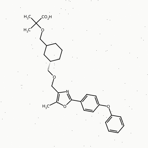 Cc1oc(-c2ccc(Oc3ccccc3)cc2)nc1COC[C@H]1CCCC(COC(C)(C)C(=O)O)C1